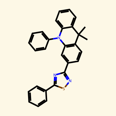 CC1(C)c2ccccc2N(c2ccccc2)c2cc(-c3nsc(-c4ccccc4)n3)ccc21